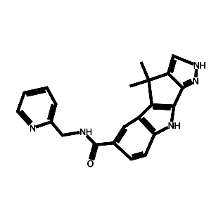 CC1(C)c2c[nH]nc2-c2[nH]c3ccc(C(=O)NCc4ccccn4)cc3c21